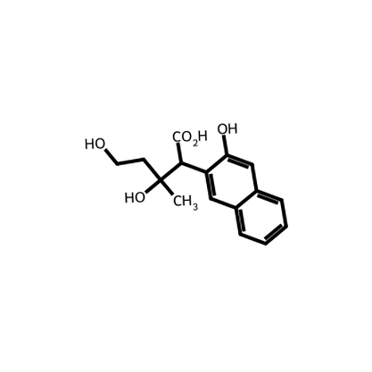 CC(O)(CCO)C(C(=O)O)c1cc2ccccc2cc1O